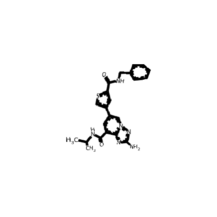 CC(C)NC(=O)c1cc(-c2csc(C(=O)NCc3ccccc3)c2)cn2nc(N)nc12